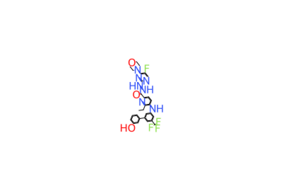 CCc1nc(C(=O)NNc2ncc(F)c(N3CCOCC3)n2)ccc1Nc1cc(-c2cccc(O)c2)cc(C(F)(F)F)c1